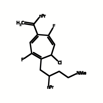 C=C(CCC)C1=CC(F)=C(CC(CCC)CCNC)C(Cl)C=C1F